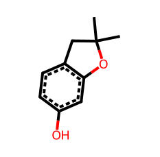 CC1(C)Cc2ccc(O)cc2O1